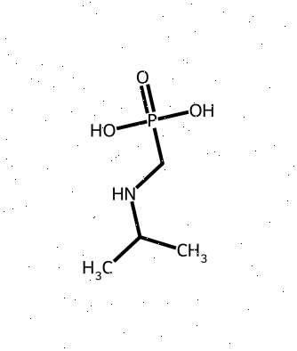 CC(C)NCP(=O)(O)O